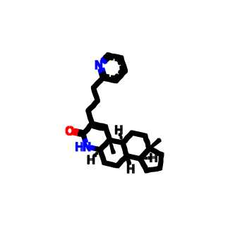 C[C@@]12CCC[C@H]1[C@@H]1CC[C@H]3NC(=O)C(CCCc4ccccn4)=C[C@]3(C)[C@H]1CC2